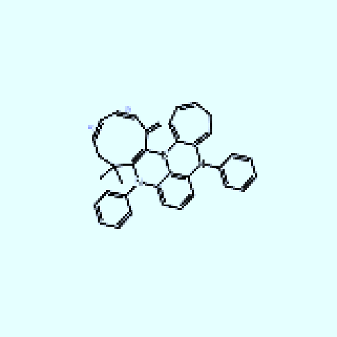 C=C1/C=C\C=C/CC(C)(C)C2=C1B1C3=CC=CCC=C3N(c3ccccc3)c3cccc(c31)N2c1ccccc1